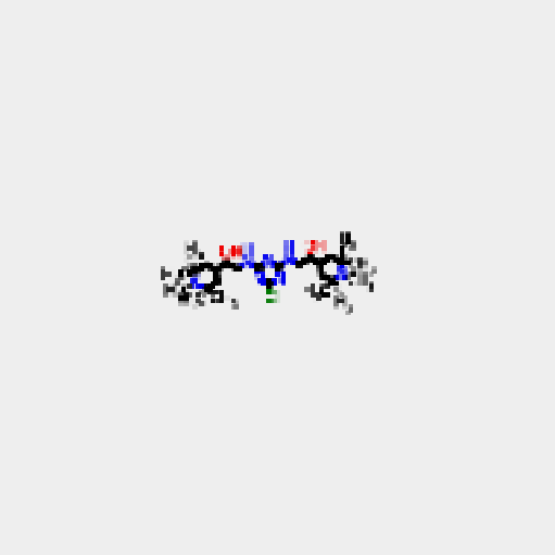 CN1C(C)(C)CC(C(O)CNc2nc(Cl)nc(NCC(O)C3CC(C)(C)N(C)C(C)(C)C3)n2)CC1(C)C